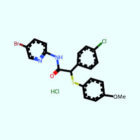 COc1ccc(SC(C(=O)Nc2ccc(Br)cn2)c2ccc(Cl)cc2)cc1.Cl